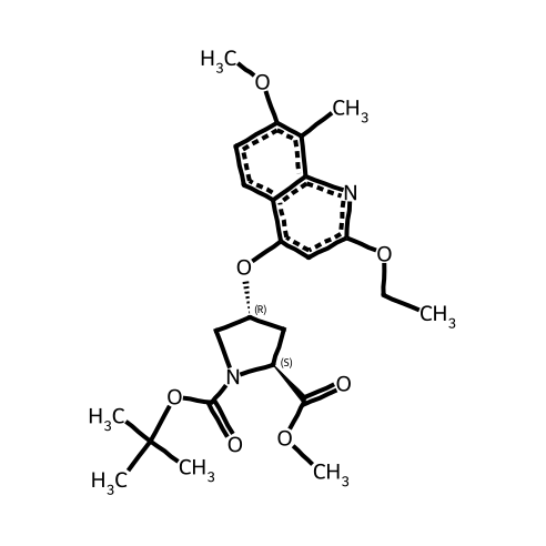 CCOc1cc(O[C@@H]2C[C@@H](C(=O)OC)N(C(=O)OC(C)(C)C)C2)c2ccc(OC)c(C)c2n1